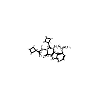 CN(C)c1ccnc2sc3c(=O)n(NC(=O)C4CCC4)c(C4CCC4)nc3c12